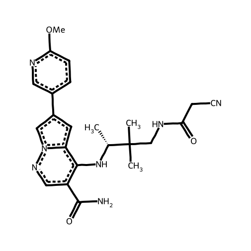 COc1ccc(-c2cc3c(N[C@H](C)C(C)(C)CNC(=O)CC#N)c(C(N)=O)cnn3c2)cn1